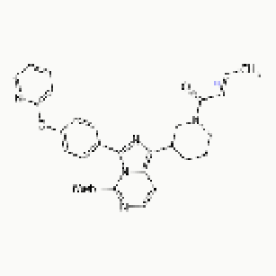 C/C=C/C(=O)N1CCCC(c2nc(-c3ccc(Oc4ccccn4)cc3)n3c(NC)nccc23)C1